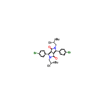 CCCCC(CC)CN1C(=O)C2=C(c3ccc(Br)cc3)N(CC(CC)CCCC)C(=O)C2=C1c1ccc(Br)cc1